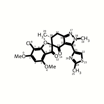 COc1cc(OC)c2c(c1Cl)O[C@]1(C2=O)C(=O)c2c(nn(C)c2-c2csc(C)n2)C[C@H]1C